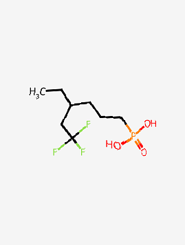 CCC(CCCP(=O)(O)O)CC(F)(F)F